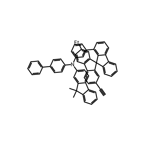 C#Cc1ccc2c(c1)C1(c3cc(CC)ccc3-2)c2ccccc2-c2cccc(-c3cccc(N(c4ccc(-c5ccccc5)cc4)c4ccc5c(c4)C(C)(C)c4ccccc4-5)c3)c21